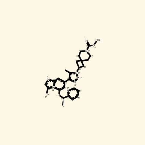 Cc1c(-c2cc(O[C@H](C)c3ccccn3)n3c(C#N)cnc3c2)nnn1C1CC2(CCN(C(=O)OC(C)(C)C)CC2)C1